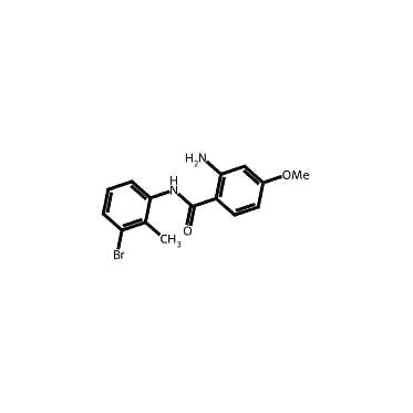 COc1ccc(C(=O)Nc2cccc(Br)c2C)c(N)c1